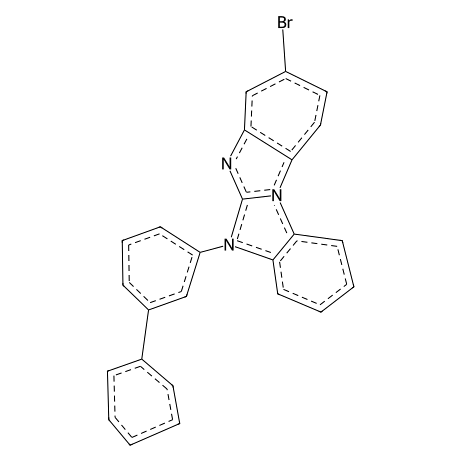 Brc1ccc2c(c1)nc1n(-c3cccc(-c4ccccc4)c3)c3ccccc3n21